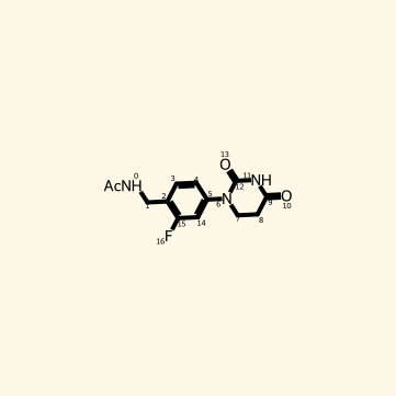 CC(=O)NCc1ccc(N2CCC(=O)NC2=O)cc1F